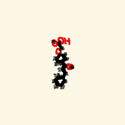 O=C(O)COc1ccc(C(=O)C=Cc2ccccc2)cc1